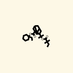 CCC1(OC(=O)C23CC4CC(C2)CC(C(C)(C)OC(=O)C(C)(C)CC)(C4)C3)CCCCC1